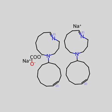 C1=C\CCCC(N2CCCCC/C=N/CCC2)CCCCC/1.C1=C\CCCC(N2CCCCC/C=N/CCC2)CCCCC/1.O=C([O-])[O-].[Na+].[Na+]